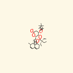 CCC(CC)(CC)C(=O)O[C@H]1CCC=C2C=C[C@@H](C)[C@H](CC[C@@H]3C[C@@H](O[Si](C)(C)C(C)(C)C)CC(=O)O3)[C@H]21